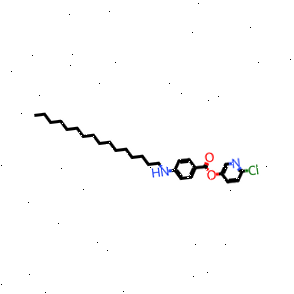 CCCCCCCCCCCCCCCCNc1ccc(C(=O)Oc2ccc(Cl)nc2)cc1